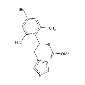 COC(=S)SC(Cn1ccnc1)c1c(C)cc(C(C)(C)C)cc1C